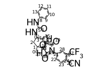 CC12C[C@H](NC(=O)Nc3ccccc3)C(C)(O1)[C@H]1C(=O)N(c3ccc(C#N)c(C(F)(F)F)c3)C(=O)[C@H]12